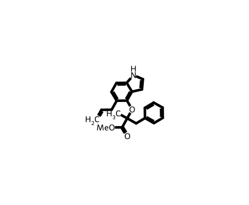 C=CCc1ccc2[nH]ccc2c1OC(C)(Cc1ccccc1)C(=O)OC